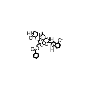 COc1cccc2[nH]c(C(=O)N[C@@H](CC(C)C)C(=O)N[C@@H](C[C@@H]3CCCNC3=O)C(=O)COC(=O)c3ccccc3)cc12